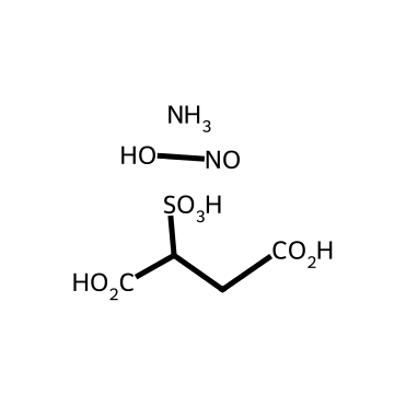 N.O=C(O)CC(C(=O)O)S(=O)(=O)O.O=NO